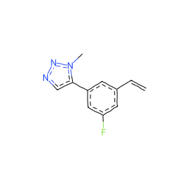 C=Cc1cc(F)cc(-c2cnnn2C)c1